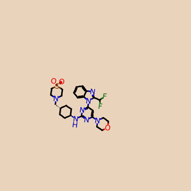 O=S1(=O)CCN(C[C@H]2CC[C@H](Nc3nc(N4CCOCC4)cc(-n4c(C(F)F)nc5ccccc54)n3)CC2)CC1